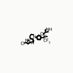 CN(C(=O)C1CNC1)[C@@H](c1ccc(N2CCCc3c2cnc2cc(Cl)nn32)cc1)C(F)(F)F